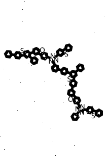 c1ccc(-c2ccc3c(c2)sc2cc(-c4ccc5oc6cc(-c7nc(-c8cccc(-c9ccc(-c%10cc(-c%11ccccc%11)cc%11c%10sc%10cc(-c%12ccc%13oc%14cc(-c%15nc(-c%16ccccc%16)nc(-c%16ccc%17c(c%16)sc%16ccccc%16%17)n%15)ccc%14c%13c%12)ccc%10%11)cc9)c8)nc(-c8ccc9c(c8)sc8ccccc89)n7)ccc6c5c4)c(-c4ccccc4)cc23)cc1